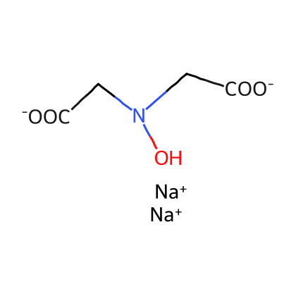 O=C([O-])CN(O)CC(=O)[O-].[Na+].[Na+]